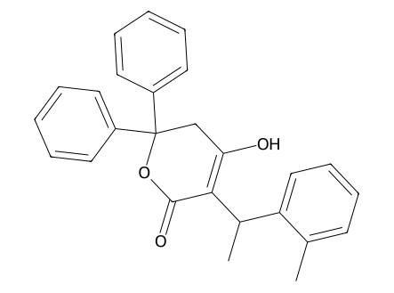 Cc1ccccc1C(C)C1=C(O)CC(c2ccccc2)(c2ccccc2)OC1=O